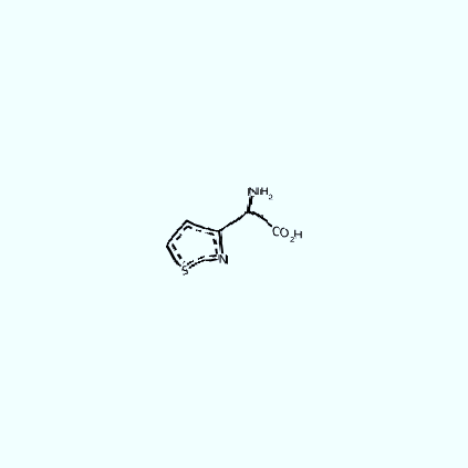 NC(C(=O)O)c1ccsn1